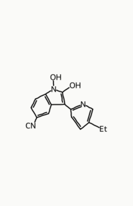 [C-]#[N+]c1ccc2c(c1)c(-c1ccc(CC)cn1)c(O)n2O